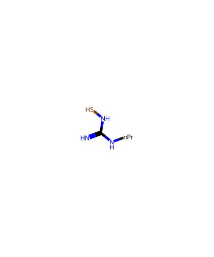 CCCNC(=N)NS